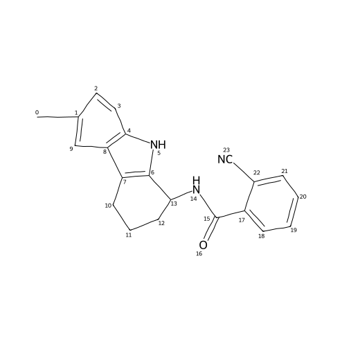 Cc1ccc2[nH]c3c(c2c1)CCCC3NC(=O)c1ccccc1C#N